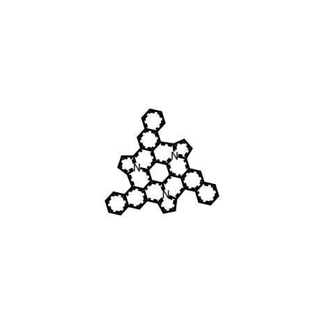 c1ccc2c(c1)cc1c3c2c2ccc4c5cc6ccccc6c6c5c5c(c3c3c7c8c(cc9ccccc9c8c8ccc1n83)c1ccc6n1c57)n42